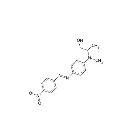 CC(CO)N(C)c1ccc(/N=N/c2ccc([N+](=O)[O-])cc2)cc1